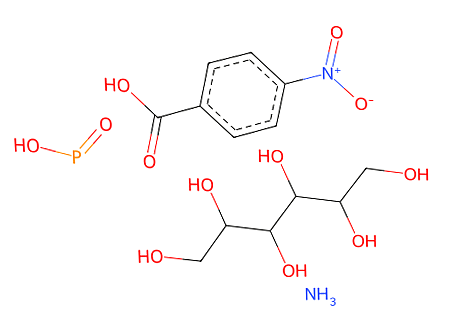 N.O=C(O)c1ccc([N+](=O)[O-])cc1.O=PO.OCC(O)C(O)C(O)C(O)CO